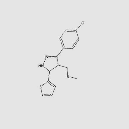 CSCC1C(c2ccc(Cl)cc2)=NNC1c1cccs1